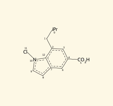 CC(C)Cc1cc(C(=O)O)cc2ccn(Cl)c12